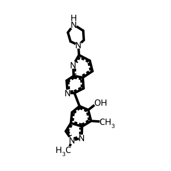 Cc1c(O)c(-c2cc3ccc(N4CCNCC4)nc3cn2)cc2cn(C)nc12